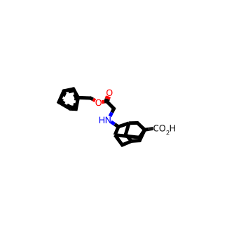 O=C(CNC1C2CC3CC1CC(C(=O)O)(C3)C2)OCc1ccccc1